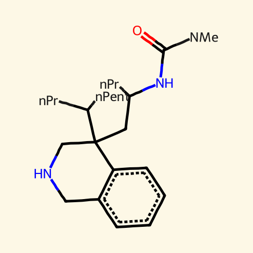 CCCCCC(CCC)C1(CC(CCC)NC(=O)NC)CNCc2ccccc21